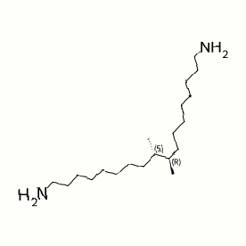 C[C@H](CCCCCCCCN)[C@@H](C)CCCCCCCCN